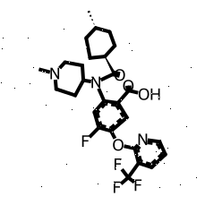 CN1CCC(N(c2cc(F)c(Oc3ncccc3C(F)(F)F)cc2C(=O)O)C(=O)[C@H]2CC[C@H](C)CC2)CC1